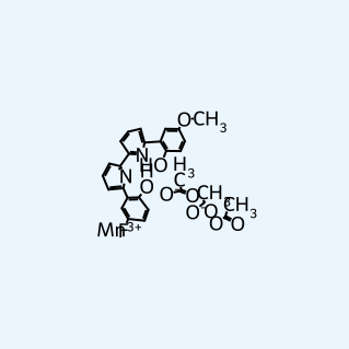 CC(=O)[O-].CC(=O)[O-].CC(=O)[O-].COc1ccc(O)c(-c2cccc(-c3cccc(-c4cc(F)ccc4O)n3)n2)c1.[Mn+3]